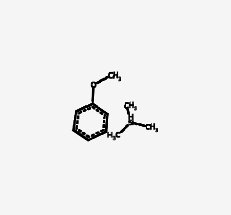 COc1ccccc1.C[SiH](C)C